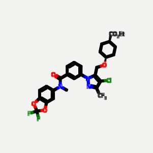 CCOC(=O)[C@H]1CC[C@H](OCc2c(Cl)c(C(F)(F)F)nn2-c2cccc(C(=O)N(C)c3ccc4c(c3)OC(F)(F)O4)c2)CC1